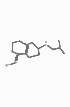 CC(C)CNC1CCC2=C(CCCC2=NO)C1